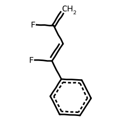 C=C(F)C=C(F)c1ccccc1